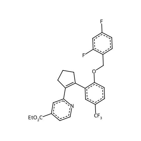 CCOC(=O)c1ccnc(C2=C(c3cc(C(F)(F)F)ccc3OCc3ccc(F)cc3F)CCC2)c1